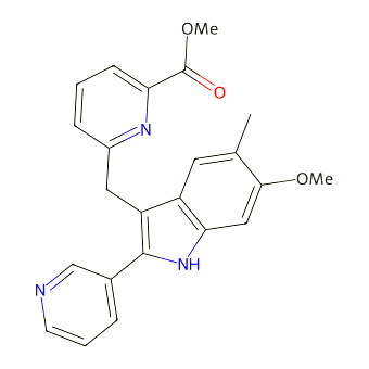 COC(=O)c1cccc(Cc2c(-c3cccnc3)[nH]c3cc(OC)c(C)cc23)n1